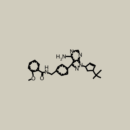 COc1ccccc1C(=O)NCc1ccc(-c2nn(C3C=CC(C(C)(C)C)C3)c3ncnc(N)c23)cc1